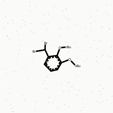 CCCCOc1cccc(C(Br)Br)c1OCCCC